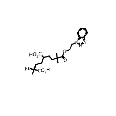 CCC(C)(CCC(CCC(C)(C)C(=O)OCCn1nnc2ccccc21)C(=O)O)C(=O)O